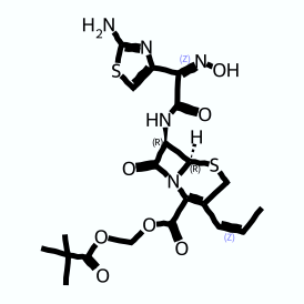 C/C=C\C1=C(C(=O)OCOC(=O)C(C)(C)C)N2C(=O)[C@@H](NC(=O)/C(=N\O)c3csc(N)n3)[C@H]2SC1